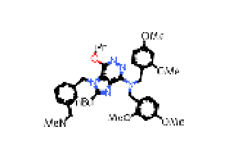 CCCCc1nc2c(N(Cc3ccc(OC)cc3OC)Cc3ccc(OC)cc3OC)nnc(OC(C)C)c2n1Cc1cccc(CNC)c1